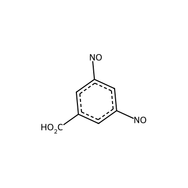 O=Nc1cc(N=O)cc(C(=O)O)c1